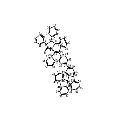 C=C1C(c2c#cccc2)C(c2ccccc2)C2c3ccccc3C(C3=CC=C(c4ccc5c(c4)C4(c6ccccc6-c6ccccc64)c4ccccc4-5)CC3)=C(c3ccccc3)N12